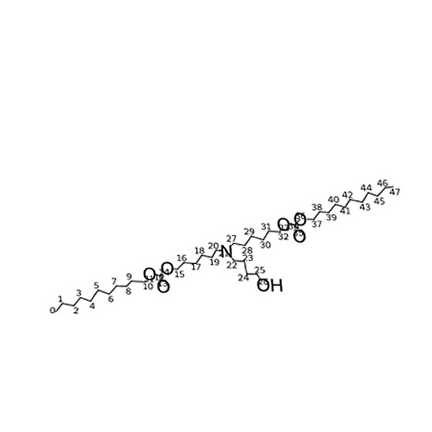 CCCCCCCCCCCOC(=O)OCCCCCCN(CCCCO)CCCCCCOC(=O)OCCCCCCCCCCC